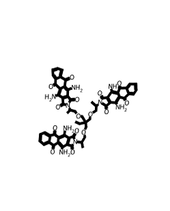 CCC(COCC(C)n1c(=O)c2c(N)c3c(=O)c4ccccc4c(=O)c3c(N)c2c1=O)(COCC(C)n1c(=O)c2c(N)c3c(=O)c4ccccc4c(=O)c3c(N)c2c1=O)COCC(C)n1c(=O)c2c(N)c3c(=O)c4ccccc4c(=O)c3c(N)c2c1=O